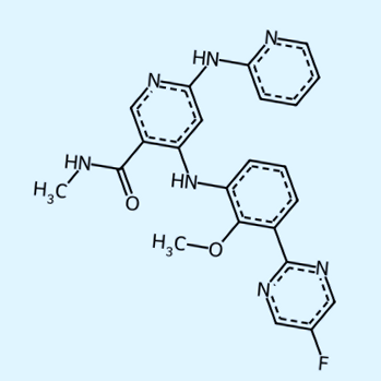 CNC(=O)c1cnc(Nc2ccccn2)cc1Nc1cccc(-c2ncc(F)cn2)c1OC